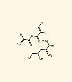 C=C(CC(O)CO)C(=O)OC.C=C(CC)C(=O)OC(=O)C(C)=CC